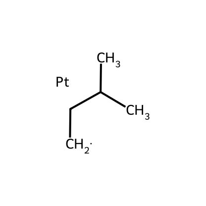 [CH2]CC(C)C.[Pt]